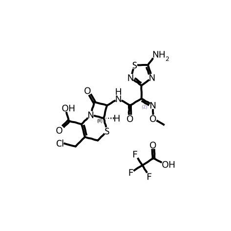 CO/N=C(\C(=O)NC1C(=O)N2C(C(=O)O)=C(CCl)CS[C@H]12)c1nsc(N)n1.O=C(O)C(F)(F)F